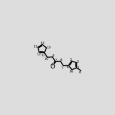 CC1=CC=C(CCC(=O)CCC2=CC=CC2)C1